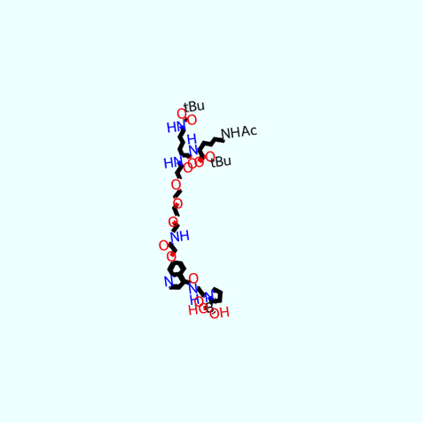 CC(=O)NCCCCC(NC(=O)C(CCCCNC(=O)OC(C)(C)C)NC(=O)CCOCCOCCOCCNC(=O)COc1ccc2c(C(=O)NCC(=O)N3CCC[C@H]3B(O)O)ccnc2c1)C(=O)OC(C)(C)C